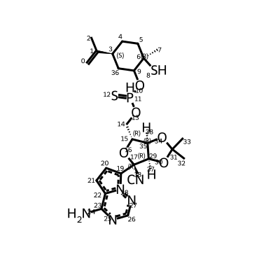 C=C(C)[C@H]1CC[C@@](C)(S)C(O[PH](=S)OC[C@H]2O[C@@](C#N)(c3ccc4c(N)ncnn34)[C@@H]3OC(C)(C)O[C@@H]32)C1